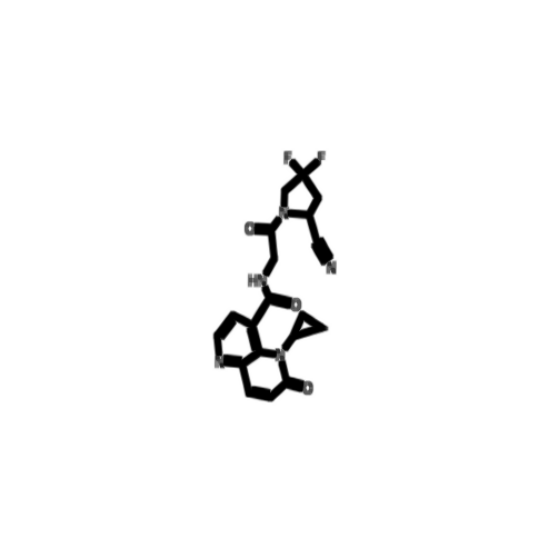 N#CC1CC(F)(F)CN1C(=O)CNC(=O)c1ccnc2ccc(=O)n(C3CC3)c12